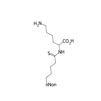 CCCCCCCCCCCCCC(=S)NC(CCCCN)C(=O)O